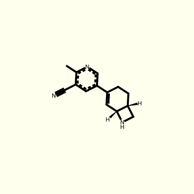 Cc1ncc(C2=C[C@H]3NC[C@H]3CC2)cc1C#N